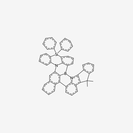 CC1(C)c2ccccc2-c2c1c1cccc3c1n2B1c2cccc4c2N(c2ccccc2[Si]4(c2ccccc2)c2ccccc2)c2cc4ccccc4c-3c21